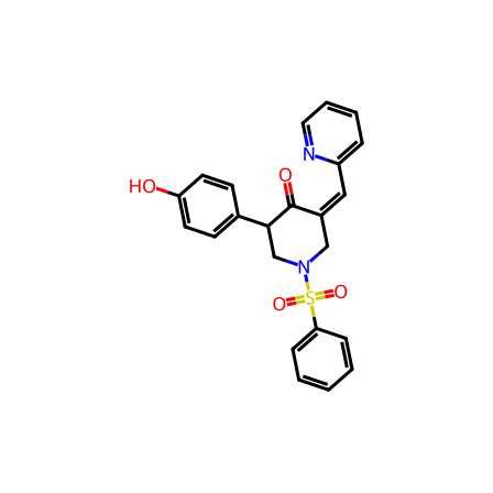 O=C1/C(=C\c2ccccn2)CN(S(=O)(=O)c2ccccc2)CC1c1ccc(O)cc1